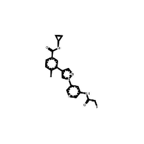 Cc1ccc(C(=O)NC2CC2)cc1-c1cnn(-c2cncc(NC(=O)CF)c2)c1